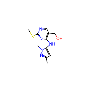 CSc1ncc(CO)c(Nc2cc(C)nn2C)n1